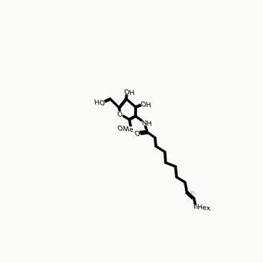 CCCCCC/C=C/CCCCCCCC(=O)NC1C(OC)OC(CO)C(O)C1O